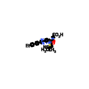 CC[C@H]1CC[C@H](c2ccc(-c3cnc(-c4ccc(C[C@H](NC(=O)c5ccc(C(C)(C)C#N)s5)C(=O)N5CC(C(=O)O)C5)cc4)nc3)cc2)CC1